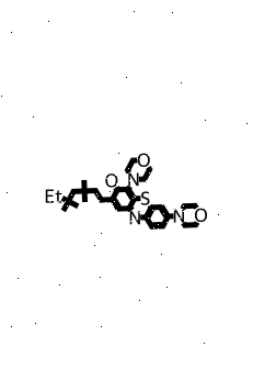 CCC(C)(C)CC(C)(C)CCc1cc2nc3ccc(N4CCOCC4)cc3sc-2c(N2CCOCC2)c1=O